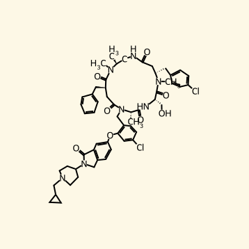 C[C@H]1CNC(=O)C[C@H](Cc2ccc(Cl)cc2)N(C)C(=O)[C@H](CO)NC(=O)[C@H](C)N(Cc2ccc(Cl)cc2Oc2ccc3c(c2)C(=O)N(C2CCN(CC4CC4)CC2)C3)C(=O)C[C@@H](Cc2ccccc2)C(=O)N1C